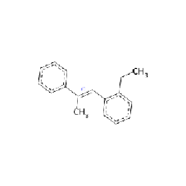 CCc1ccccc1/C=C(\C)c1ccccc1